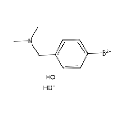 [B+2]c1ccc(CN(C)C)cc1.[OH-].[OH-]